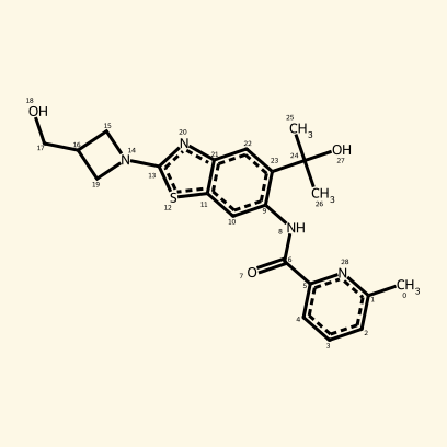 Cc1cccc(C(=O)Nc2cc3sc(N4CC(CO)C4)nc3cc2C(C)(C)O)n1